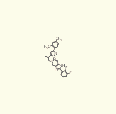 CC(CN1Cc2nc(-c3cccc(F)c3F)[nH]c2C=N1)c1cc(-c2ccc(C(F)(F)F)cc2C(F)(F)F)no1